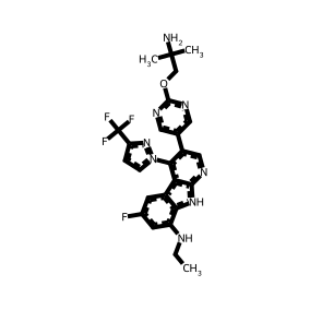 CCNc1cc(F)cc2c1[nH]c1ncc(-c3cnc(OCC(C)(C)N)nc3)c(-n3ccc(C(F)(F)F)n3)c12